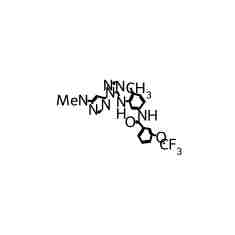 CNc1cc(-n2ncnc2Nc2cc(NC(=O)c3cccc(OC(F)(F)F)c3)ccc2C)ncn1